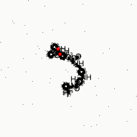 CC(C)(C)[Si](Oc1ccc(OC[C@H](CNCCc2ccc(NC3CCN(C(=O)NCc4ccccc4C(F)(F)F)CC3)cc2)OC=O)cc1)(c1ccccc1)c1ccccc1